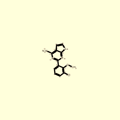 COc1c(Cl)cccc1-c1nc(N)c2ccsc2n1